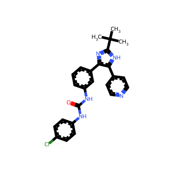 CC(C)(C)c1nc(-c2cccc(NC(=O)Nc3ccc(Cl)cc3)c2)c(-c2ccncc2)[nH]1